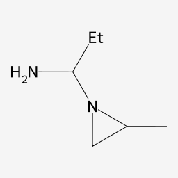 CCC(N)N1CC1C